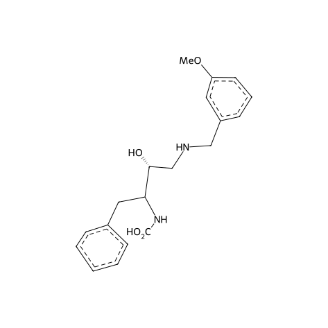 COc1cccc(CNC[C@@H](O)C(Cc2ccccc2)NC(=O)O)c1